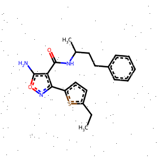 CCc1ccc(-c2noc(N)c2C(=O)NC(C)CCc2ccccc2)s1